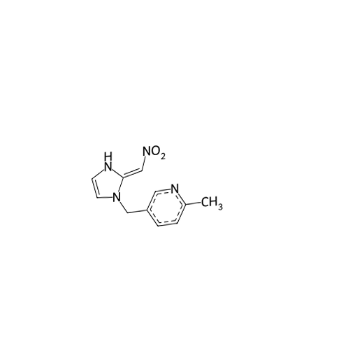 Cc1ccc(CN2C=CN/C2=C\[N+](=O)[O-])cn1